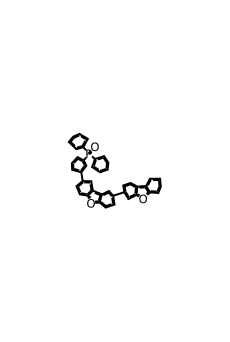 O=P(c1ccccc1)(c1ccccc1)c1cccc(-c2ccc3oc4ccc(-c5ccc6c(c5)oc5ccccc56)cc4c3c2)c1